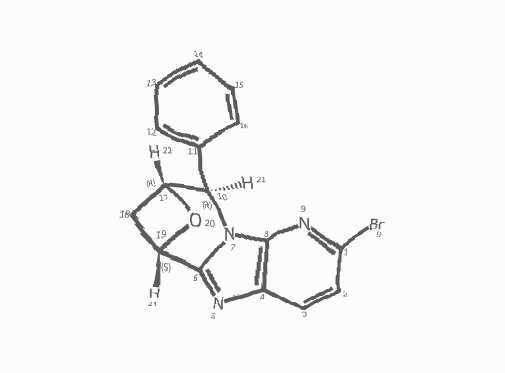 Brc1ccc2nc3n(c2n1)[C@H](c1ccccc1)[C@H]1C[C@@H]3O1